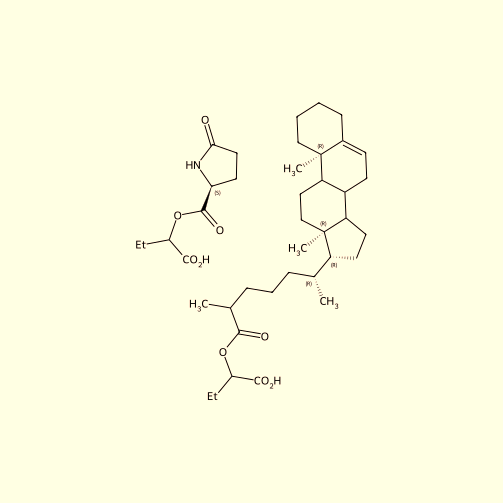 CCC(OC(=O)C(C)CCC[C@@H](C)[C@H]1CCC2C3CC=C4CCCC[C@]4(C)C3CC[C@@]21C)C(=O)O.CCC(OC(=O)[C@@H]1CCC(=O)N1)C(=O)O